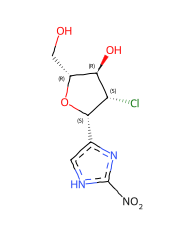 O=[N+]([O-])c1nc([C@@H]2O[C@H](CO)[C@@H](O)[C@@H]2Cl)c[nH]1